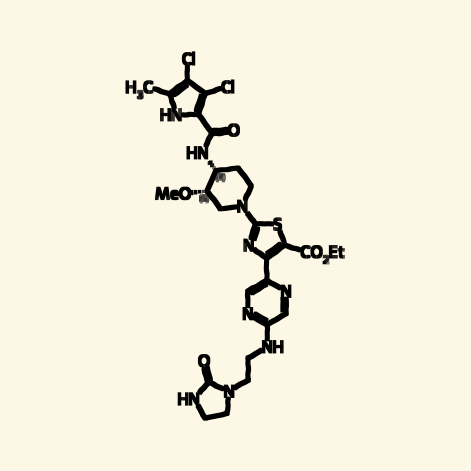 CCOC(=O)c1sc(N2CC[C@@H](NC(=O)c3[nH]c(C)c(Cl)c3Cl)[C@@H](OC)C2)nc1-c1cnc(NCCN2CCNC2=O)cn1